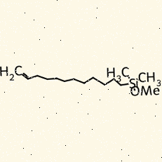 C=CCCCCCCCCCC[Si](C)(C)OC